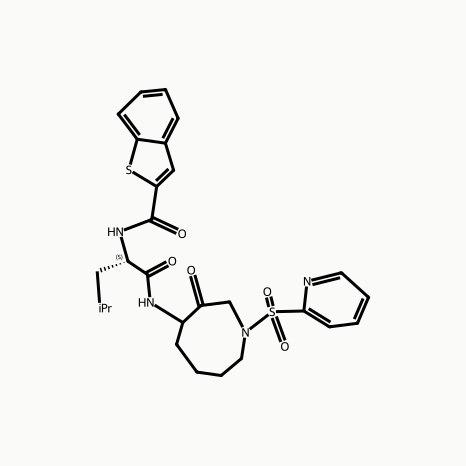 CC(C)C[C@H](NC(=O)c1cc2ccccc2s1)C(=O)NC1CCCCN(S(=O)(=O)c2ccccn2)CC1=O